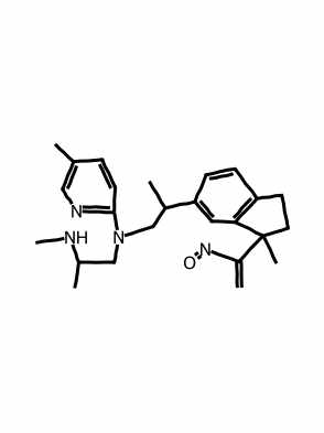 C=C(N=O)C1(C)CCc2ccc(C(C)CN(CC(C)NC)c3ccc(C)cn3)cc21